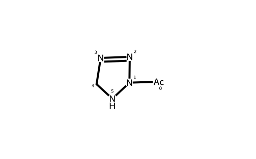 CC(=O)N1N=NCN1